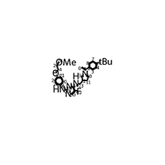 C=C(c1ccc(C(C)(C)C)cc1)N1CCC(CNc2nc(Nc3ccc(OCCOC)cc3)ncc2F)C1